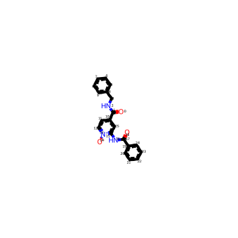 O=C(NCc1ccccc1)c1cc[n+]([O-])c(NC(=O)c2ccccc2)c1